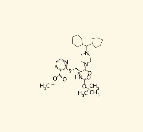 CCOC(=O)c1cccnc1SC[C@H](NC(=O)OC(C)(C)C)C(=O)N1CCN(C(C2CCCCC2)C2CCCCC2)CC1